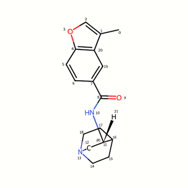 Cc1coc2ccc(C(=O)N[C@H]3CN4CCC3CC4)cc12